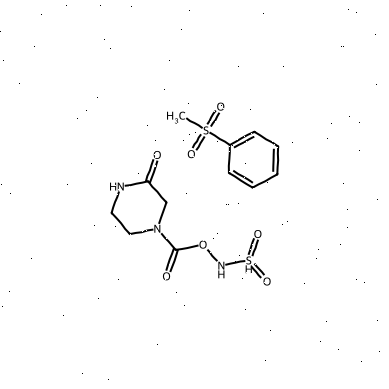 CS(=O)(=O)c1ccccc1.O=C1CN(C(=O)ON[SH](=O)=O)CCN1